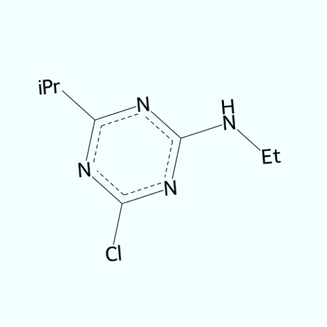 CCNc1nc(Cl)nc(C(C)C)n1